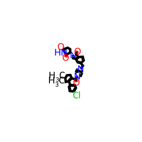 CC1(C)CCC(C(=O)N2CC3CC2CN3Cc2ccc3c(c2)CN(C2CCC(=O)NC2=O)C3=O)=C(c2ccc(Cl)cc2)C1